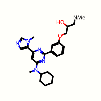 CNCC(O)COc1cccc(-c2nc(-c3cncn3C)cc(N(C)C3CCCCC3)n2)c1